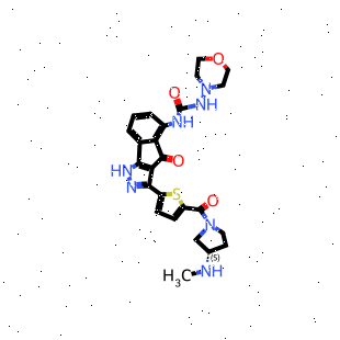 CN[C@H]1CCN(C(=O)c2ccc(-c3n[nH]c4c3C(=O)c3c(NC(=O)NN5CCOCC5)cccc3-4)s2)C1